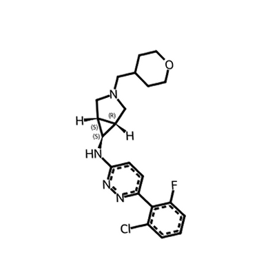 Fc1cccc(Cl)c1-c1ccc(N[C@H]2[C@@H]3CN(CC4CCOCC4)C[C@@H]32)nn1